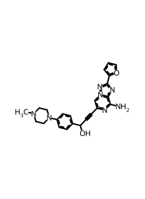 CN1CCN(c2ccc(C(O)C#Cc3cn4nc(-c5ccco5)nc4c(N)n3)cc2)CC1